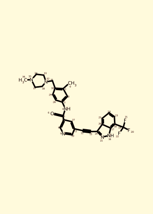 Cc1cc(NC(=O)c2cncc(C#Cc3n[nH]c4c(C(F)(F)F)cccc34)c2)ccc1CN1CCN(C)CC1